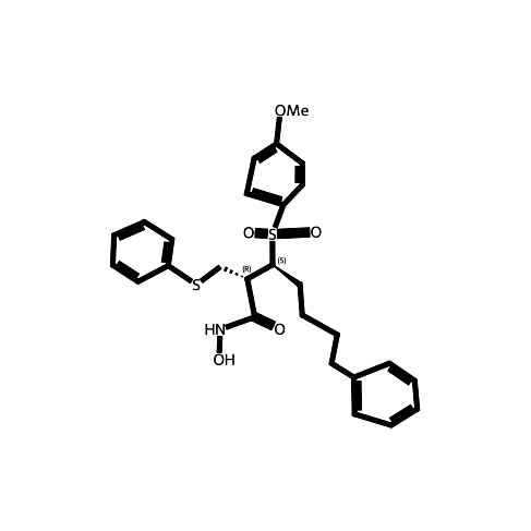 COc1ccc(S(=O)(=O)[C@@H](CCCCc2ccccc2)[C@@H](CSc2ccccc2)C(=O)NO)cc1